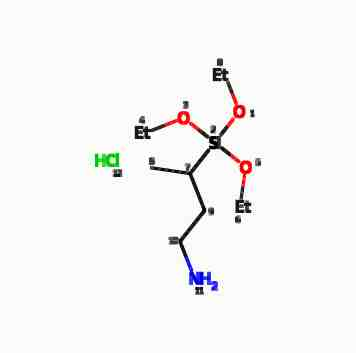 CCO[Si](OCC)(OCC)C(C)CCN.Cl